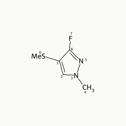 CSc1cn(C)nc1F